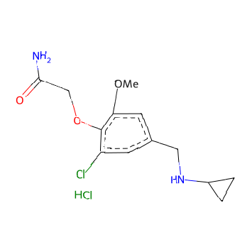 COc1cc(CNC2CC2)cc(Cl)c1OCC(N)=O.Cl